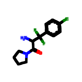 NC(C(=O)N1CCCC1)C(F)(F)c1ccc(Cl)cc1